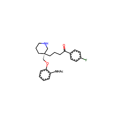 CC(=O)Nc1ccccc1OC[C@]1(CCCC(=O)c2ccc(F)cc2)CCCNC1